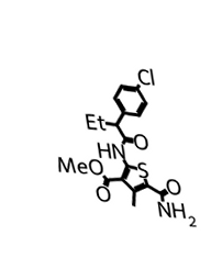 CCC(C(=O)Nc1sc(C(N)=O)c(C)c1C(=O)OC)c1ccc(Cl)cc1